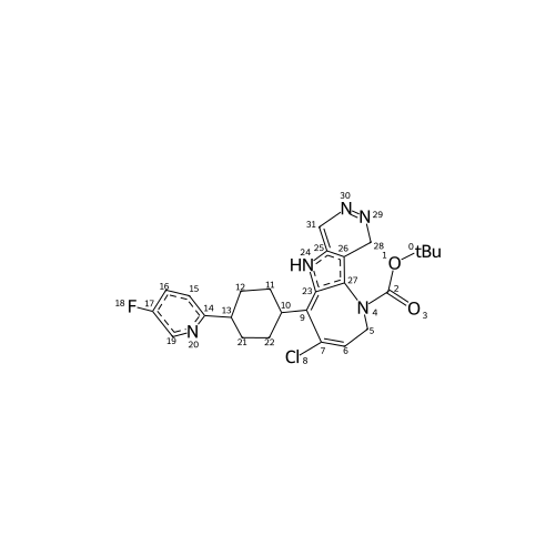 CC(C)(C)OC(=O)N1CC=C(Cl)C(C2CCC(c3ccc(F)cn3)CC2)=c2[nH]c3c(c21)CN=NC=3